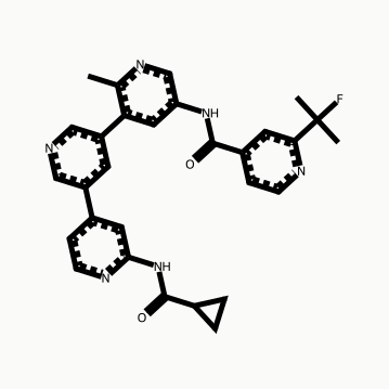 Cc1ncc(NC(=O)c2ccnc(C(C)(C)F)c2)cc1-c1cncc(-c2ccnc(NC(=O)C3CC3)c2)c1